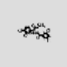 CCC(=O)[C@@H](NCC(=O)c1cc(Cl)cc(Cl)c1)c1ccc(Cl)c(Cl)c1